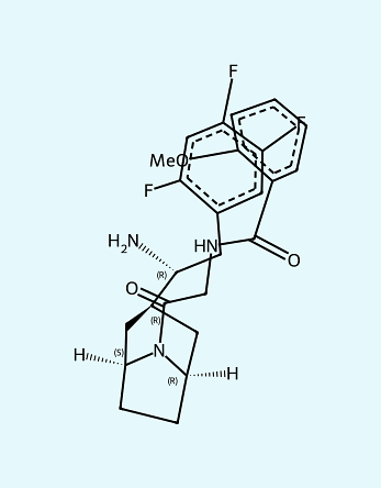 COc1ccccc1C(=O)NCC(=O)N1[C@@H]2CC[C@H]1C[C@@H]([C@H](N)Cc1cc(F)c(F)cc1F)C2